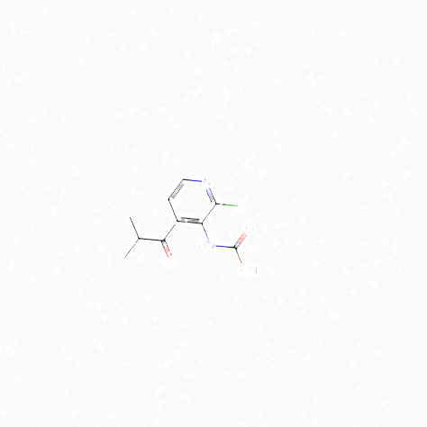 CC(C)C(=O)c1ccnc(Cl)c1NC(=O)O